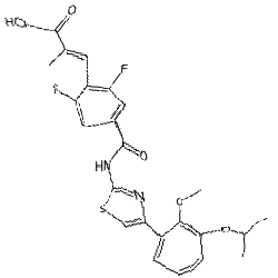 COc1c(OC(C)C)cccc1-c1csc(NC(=O)c2cc(F)c(C=C(C)C(=O)O)c(F)c2)n1